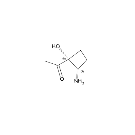 CC(=O)[C@@]1(O)CC[C@@H]1N